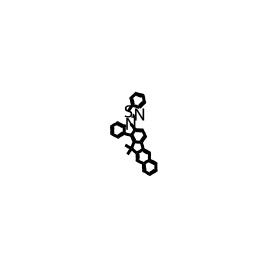 CC1(C)c2cc3ccccc3cc2-c2ccc3c(c21)c1ccccc1n3-c1nc2ccccc2s1